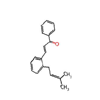 CC(C)=CCc1ccccc1/C=C/C(=O)c1ccccc1